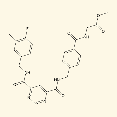 COC(=O)CNC(=O)c1ccc(CNC(=O)c2cc(C(=O)NCc3ccc(F)c(C)c3)ncn2)cc1